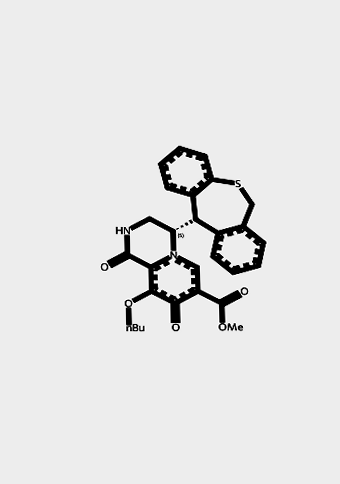 CCCCOc1c2n(cc(C(=O)OC)c1=O)[C@@H](C1c3ccccc3CSc3ccccc31)CNC2=O